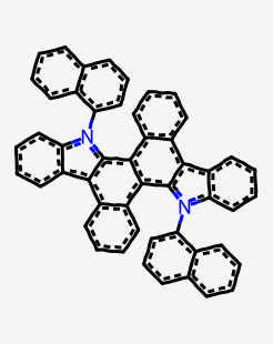 c1ccc2c(-n3c4ccccc4c4c5ccccc5c5c(c6ccccc6c6c7ccccc7n(-c7cccc8ccccc78)c65)c43)cccc2c1